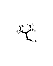 CCC([SiH2]C)[SiH2]C